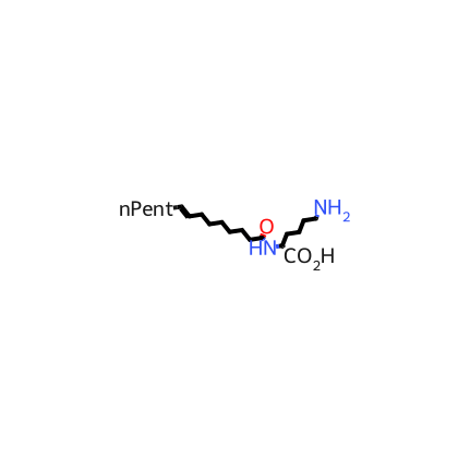 CCCCCC=CCCCCCCC(=O)NC(CCCCN)C(=O)O